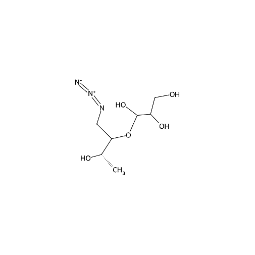 C[C@H](O)C(CN=[N+]=[N-])OC(O)C(O)CO